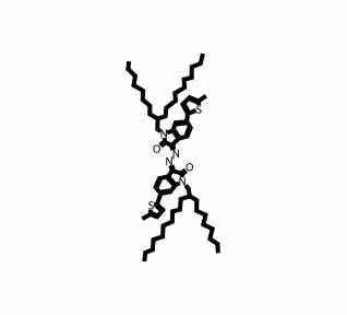 CCCCCCCCCCC(CCCCCCCC)CN1C(=O)/C(=N\N=C2/C(=O)N(CC(CCCCCCCC)CCCCCCCCCC)c3cc(-c4ccc(C)s4)ccc32)c2ccc(-c3ccc(C)s3)cc21